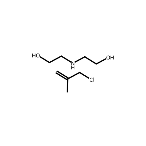 C=C(C)CCl.OCCNCCO